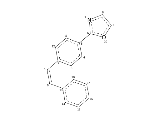 C(=C/c1ccc(-c2ncco2)cc1)/c1ccccc1